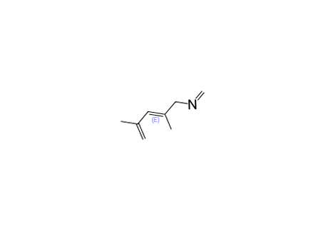 C=NC/C(C)=C/C(=C)C